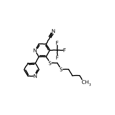 CCCCSCSc1c(-c2cccnc2)ncc(C#N)c1C(F)(F)F